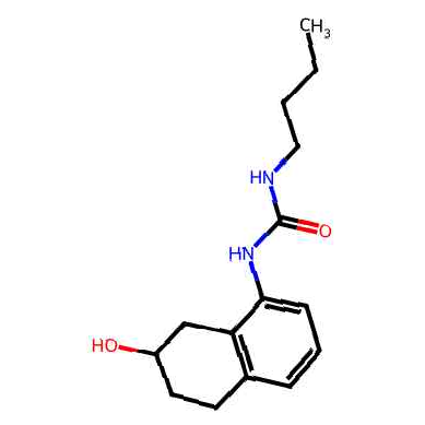 CCCCNC(=O)Nc1cccc2c1CC(O)CC2